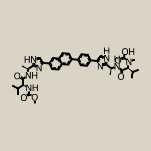 COC(=O)N[C@H](C(=O)N[C@@H](C)c1nc(-c2ccc3cc(-c4ccc(-c5c[nH]c([C@H](C)NC(=O)[C@H](C(C)C)N(C)C(=O)O)n5)cc4)ccc3c2)c[nH]1)C(C)C